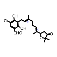 C/C(=C\Cc1c(O)c(Cl)cc(C=O)c1O)CC/C=C(\C)C1CC(=O)C(C)(C)O1